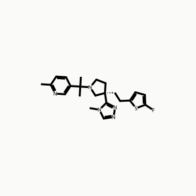 Cc1ccc(C(C)(C)N2CC[C@@](CCc3ccc(F)s3)(c3nncn3C)C2)cn1